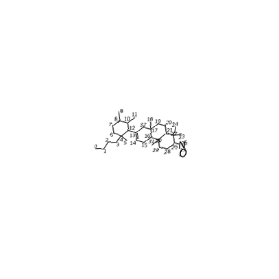 CCCCC1(C)CCC(C)C(C)C1C1=CCC2C(C)(CCC3C(C)(C)C(N=O)CCC23C)C1